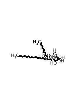 CCCCCCCCCCCCCCCCN(CC(O)C[C@@H]1O[C@H](CO)[C@@H](O)[C@H](O)[C@H]1O)C(=O)C(O)CCCCCCCC